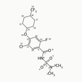 CN(C)S(=O)(=O)NC(=O)c1cc(Cl)c(OC2CCC(C(F)(F)F)CC2)cc1F